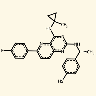 C[C@@H](Nc1nc(NC2(C(F)(F)F)CC2)c2nc(-c3ccc(F)cc3)ccc2n1)c1ccc(S)cc1